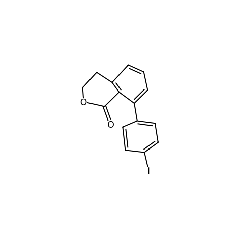 O=C1OCCc2cccc(-c3ccc(I)cc3)c21